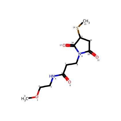 COCCNC(=O)CCN1C(=O)CC(SC)C1=O